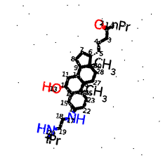 CCCC(=O)CCC[C@H]1CCC2C3C[C@H](O)C4CC(NCCNC(C)C)CC[C@]4(C)C3CC[C@@]21C